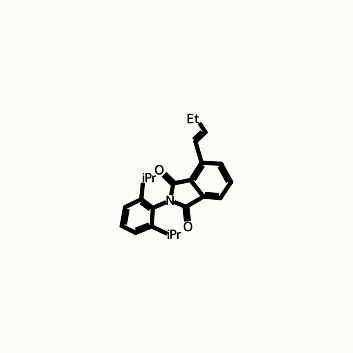 CC/C=C/c1cccc2c1C(=O)N(c1c(C(C)C)cccc1C(C)C)C2=O